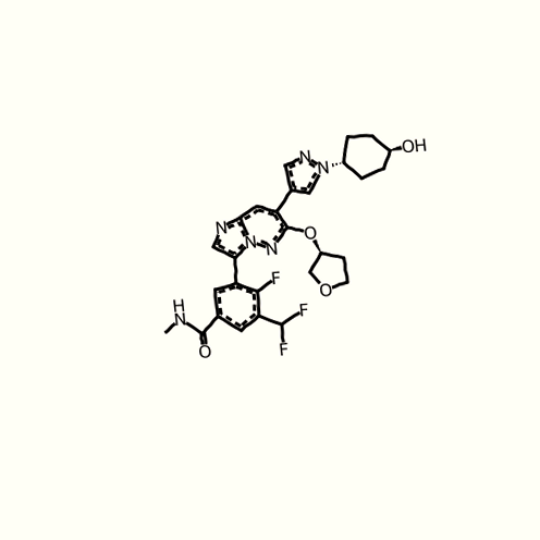 CNC(=O)c1cc(-c2cnc3cc(-c4cnn([C@H]5CC[C@H](O)CC5)c4)c(O[C@H]4CCOC4)nn23)c(F)c(C(F)F)c1